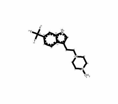 CN1CCN(CCc2c[nH]c3cc(C(F)(F)F)ccc23)CC1